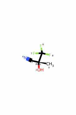 C[C@@](O)(C#N)C(F)(F)F